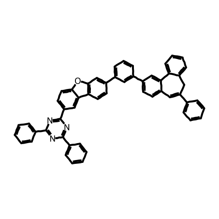 C1=C(c2ccccc2)Cc2ccccc2-c2cc(-c3cccc(-c4ccc5c(c4)oc4ccc(-c6nc(-c7ccccc7)nc(-c7ccccc7)n6)cc45)c3)ccc21